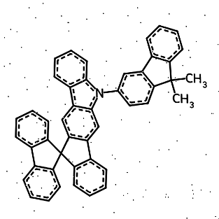 CC1(C)c2ccccc2-c2cc(-n3c4ccccc4c4cc5c(cc43)-c3ccccc3C53c4ccccc4-c4ccccc43)ccc21